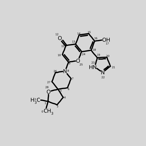 CC1(C)CCC2(CCN(c3cc(=O)c4ccc(O)c(-c5ccn[nH]5)c4o3)CC2)O1